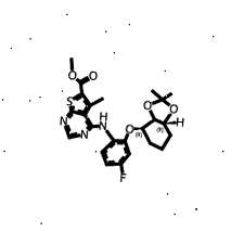 COC(=O)c1sc2ncnc(Nc3ccc(F)cc3O[C@@H]3CCC[C@H]4OC(C)(C)OC34)c2c1C